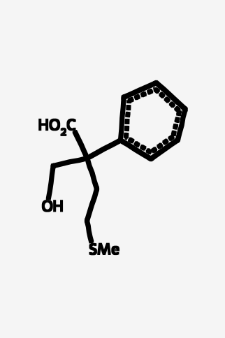 CSCCC(CO)(C(=O)O)c1ccccc1